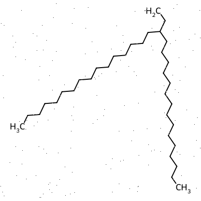 [CH2]CC(CCCCCCCCCCCCCCC)CCCCCCCCCCCCCCCC